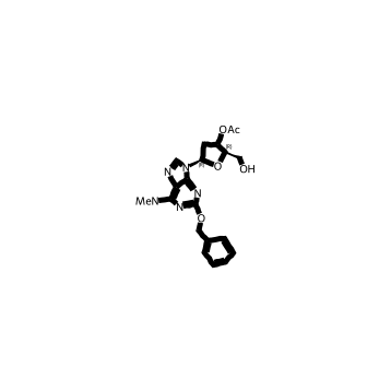 CNc1nc(OCc2ccccc2)nc2c1ncn2[C@H]1CC(OC(C)=O)[C@@H](CO)O1